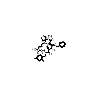 CN1C(=O)C2=C(OCc3ccccc3)C(O)C(C(=O)NCc3ccc(F)cc3F)=CN2N(CCCP(=O)(O)O)C12CCOC2